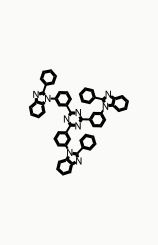 c1ccc(-c2nc3ccccc3n2-c2cccc(-c3nc(-c4cccc(-n5c(-c6ccccc6)nc6ccccc65)c4)nc(-c4cccc(-n5c(-c6ccccc6)nc6ccccc65)c4)n3)c2)cc1